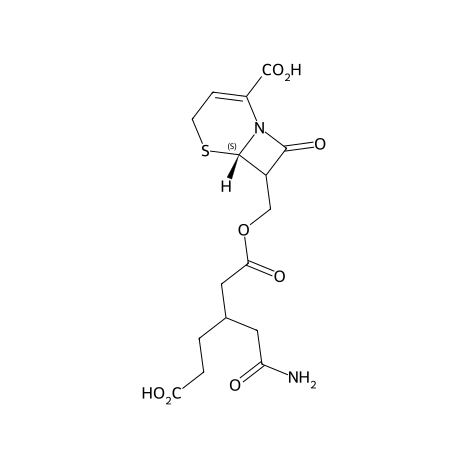 NC(=O)CC(CCC(=O)O)CC(=O)OCC1C(=O)N2C(C(=O)O)=CCS[C@@H]12